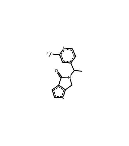 CC(c1ccnc(C(F)(F)F)c1)N1Cc2sccc2C1=O